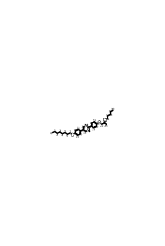 CCCCCCCCOc1ccc(-c2cnc(-c3ccc(OCC(C)OCCCCC)cc3)nc2)cc1